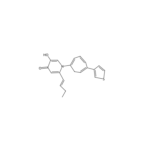 CCC=Cc1cc(=O)c(O)cn1C1=CC=CC(c2ccsc2)=CC1